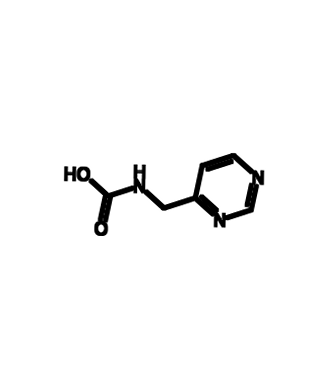 O=C(O)NCc1ccncn1